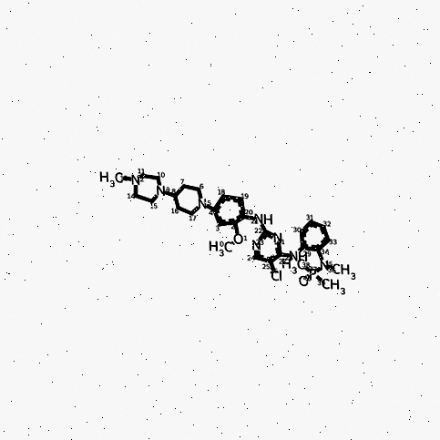 COc1cc(N2CCC(N3CCN(C)CC3)CC2)ccc1Nc1ncc(Cl)c(Nc2ccccc2N(C)P(C)(C)=O)n1